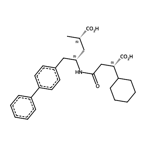 C[C@@H](C[C@@H](Cc1ccc(-c2ccccc2)cc1)NC(=O)C[C@H](C(=O)O)C1CCCCC1)C(=O)O